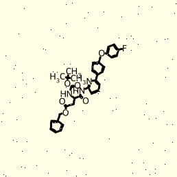 CC(C)(C)OC(=O)NC(CC(=O)OCc1ccccc1)C(=O)Nc1cccc(-c2ccc(Oc3ccc(F)cc3)cc2)n1